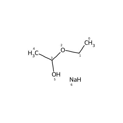 CCOC(C)O.[NaH]